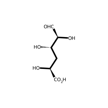 O=C[C@@H](O)[C@@H](O)C[C@H](O)C(=O)O